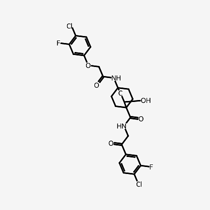 O=C(COc1ccc(Cl)c(F)c1)NC12CCC(C(=O)NCC(=O)c3ccc(Cl)c(F)c3)(CC1)C(O)C2